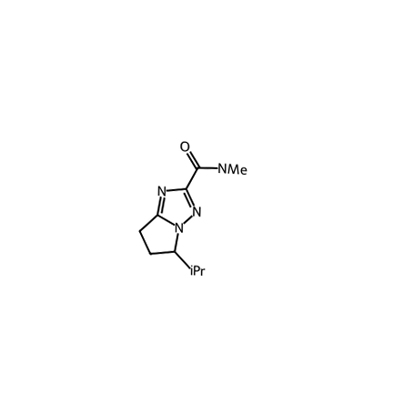 CNC(=O)c1nc2n(n1)C(C(C)C)CC2